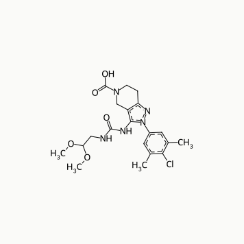 COC(CNC(=O)Nc1c2c(nn1-c1cc(C)c(Cl)c(C)c1)CCN(C(=O)O)C2)OC